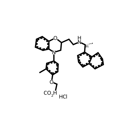 Cc1cc(N2CC(CCN[C@H](C)c3cccc4ccccc34)Oc3ccccc32)ccc1OCC(=O)O.Cl